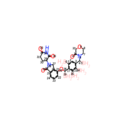 Bc1cc(C(B)N2CCOCC2=O)c(B)c(B)c1C(B)Oc1cccc2c1CN(C1CCC(=O)NC1=O)C2=O